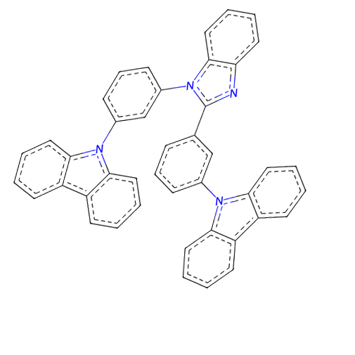 c1cc(-c2nc3ccccc3n2-c2cccc(-n3c4ccccc4c4ccccc43)c2)cc(-n2c3ccccc3c3ccccc32)c1